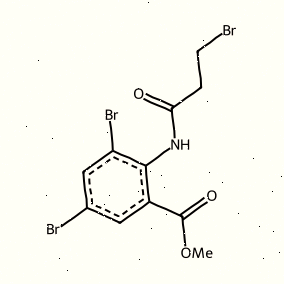 COC(=O)c1cc(Br)cc(Br)c1NC(=O)CCBr